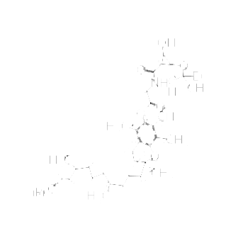 CCC(C)(C)OC1C(O)C1C(=O)NCC(=O)Oc1c(C)c(C)c2c(c1C)CCC(C)(CCCC(C)CCCC(C)CCCC(C)C)O2